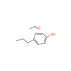 CC=O.CCCc1ccc(O)cc1